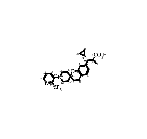 C[C@H](C(=O)O)[C@H](c1ccc2c(c1)OC1(CC2)CCN(c2cccnc2C(F)(F)F)CC1)C1CC1